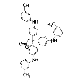 Cc1cccc(Nc2ccc(C(CC(=O)O)(c3ccc(Nc4cccc(C)c4)cc3)c3ccc(Nc4cccc(C)c4)cc3)cc2)c1